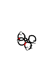 C1=C(CC(C2=CCCCCCCCCCC2)(C2=CCCCCCCCCCC2)C2=CCCCCCCCCCC2)CCCCCCCCCC1